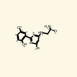 CC[C@H](N)CNc1cc(C(C)C)nc(-c2cc(Cl)ccc2O)n1